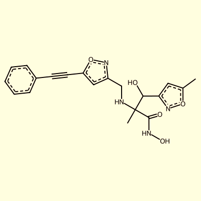 Cc1cc(C(O)C(C)(NCc2cc(C#Cc3ccccc3)on2)C(=O)NO)no1